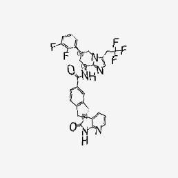 O=C(N[C@H]1C[C@@H](c2cccc(F)c2F)Cn2c(CC(F)(F)F)cnc21)c1ccc2c(c1)C[C@@]1(C2)C(=O)Nc2ncccc21